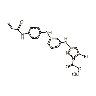 C=CC(=O)Nc1ccc(Nc2cccc(Nc3cc(CC)n(C(=O)OC(C)(C)C)n3)c2)cc1